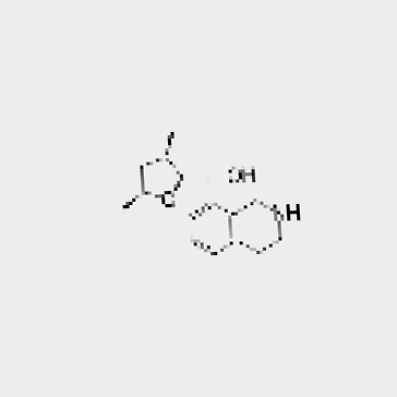 C[C@@H]1C[C@H](C)O[C@@H]1[C@@](C)(O)c1cccc2c1CNCC2